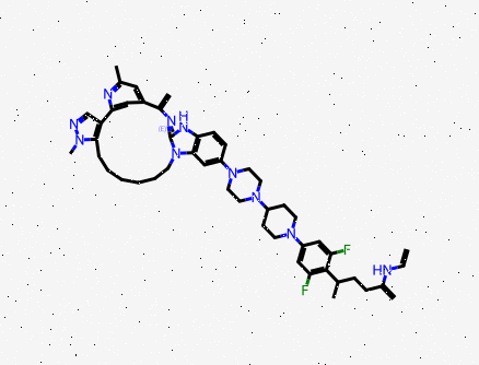 C=CNC(=C)CCC(C)c1c(F)cc(N2CCC(N3CCN(c4ccc5c(c4)N4CCCCCCc6c(cnn6C)-c6cc(cc(C)n6)C(=C)/N=C/4N5)CC3)CC2)cc1F